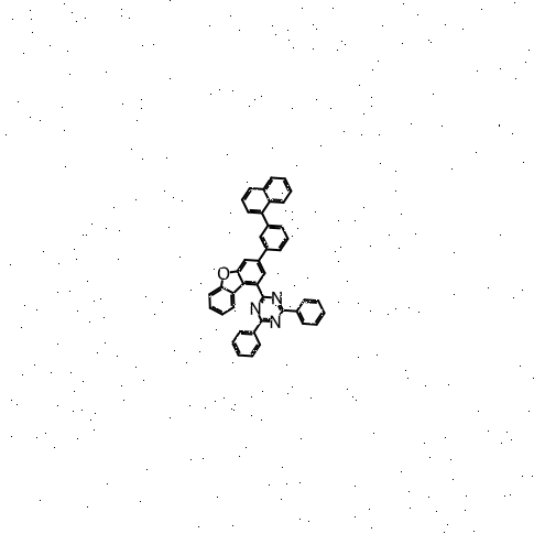 c1ccc(-c2nc(-c3ccccc3)nc(-c3cc(-c4cccc(-c5cccc6ccccc56)c4)cc4oc5ccccc5c34)n2)cc1